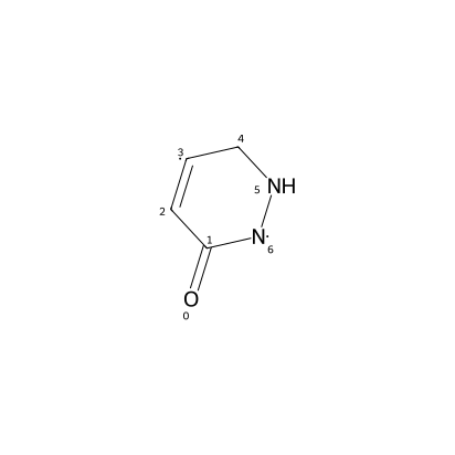 O=C1C=[C]CN[N]1